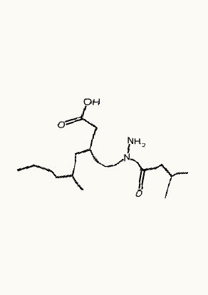 CCCC(C)CC(CC(=O)O)CN(N)C(=O)CC(C)C